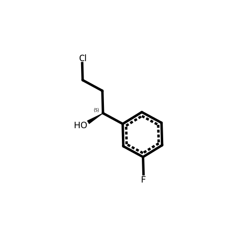 O[C@@H](CCCl)c1cccc(F)c1